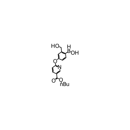 CCCCOC(=O)c1ccc(Oc2ccc(BO)c(CO)c2)nc1